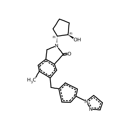 Cc1cc2c(cc1Cc1ccc(-n3cccn3)cc1)C(=O)N([C@@H]1CCC[C@H]1O)C2